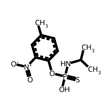 Cc1ccc(OP(O)(=S)NC(C)C)c([N+](=O)[O-])c1